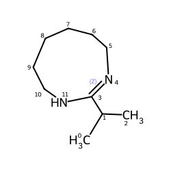 CC(C)/C1=N/CCCCCCN1